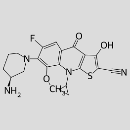 COc1c(N2CCC[C@H](N)C2)c(F)cc2c(=O)c3c(O)c(C#N)sc3n(C3CC3)c12